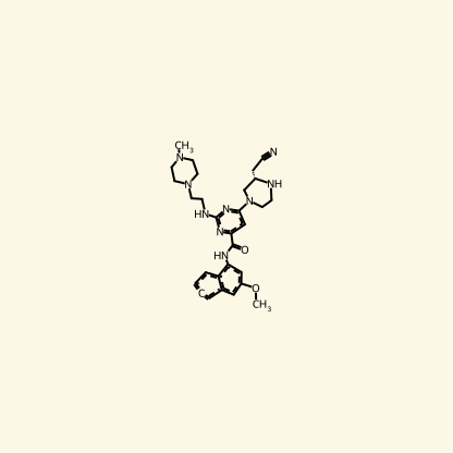 COc1cc(NC(=O)c2cc(N3CCN[C@@H](CC#N)C3)nc(NCCN3CCN(C)CC3)n2)c2ccccc2c1